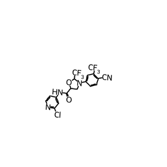 N#Cc1ccc(N2CC(C(=O)Nc3ccnc(Cl)c3)OC2C(F)(F)F)cc1C(F)(F)F